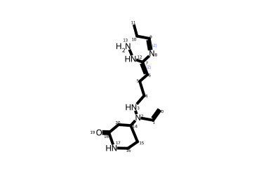 C=CN(NCC/C=C(/N=C\CC)NN)C1CCNC(=O)C1